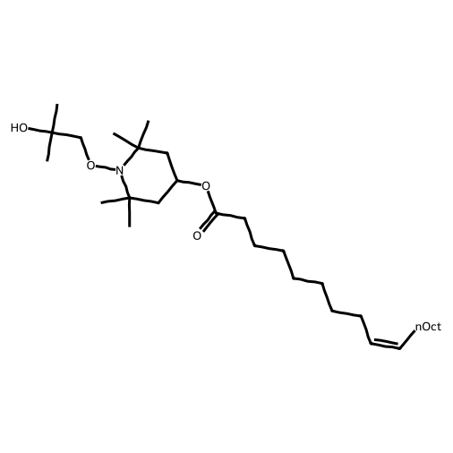 CCCCCCCC/C=C\CCCCCCCC(=O)OC1CC(C)(C)N(OCC(C)(C)O)C(C)(C)C1